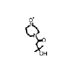 CON1CCCN(C(=O)CC(C)(C)O)CC1